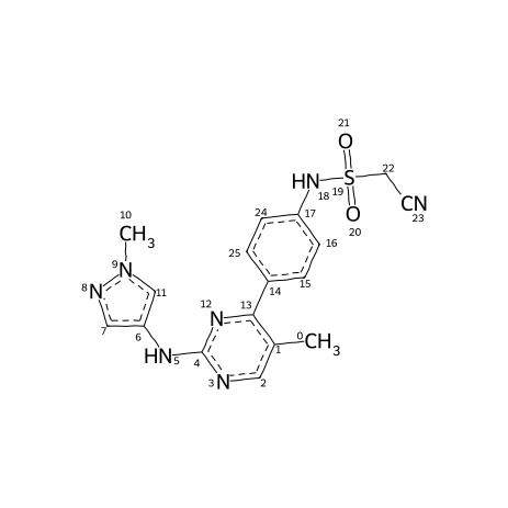 Cc1cnc(Nc2cnn(C)c2)nc1-c1ccc(NS(=O)(=O)CC#N)cc1